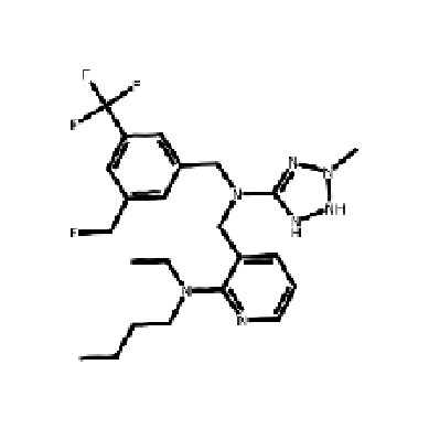 CCCCN(CC)c1ncccc1CN(Cc1cc(CF)cc(C(F)(F)F)c1)C1=NN(C)NN1